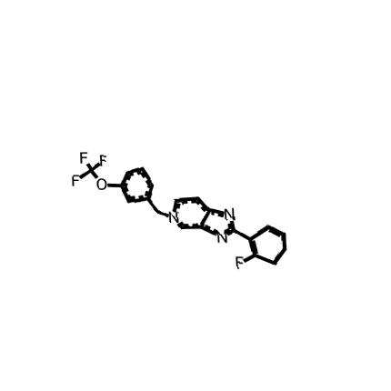 FC1=C(c2nc3ccn(Cc4cccc(OC(F)(F)F)c4)cc-3n2)C=CCC1